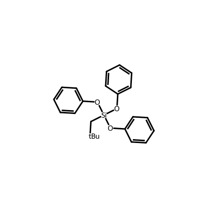 CC(C)(C)C[Si](Oc1ccccc1)(Oc1ccccc1)Oc1ccccc1